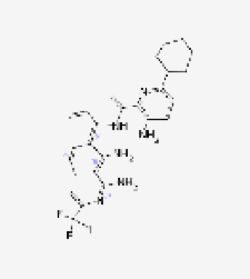 C=C/C(NC(=C)c1nc(C2CCCCC2)ccc1N)=C(\C=C/C)C(/N)=C/C(N)=N\C(=C)C(F)(F)F